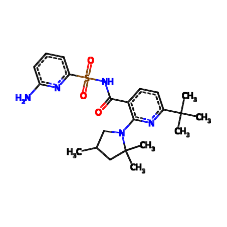 CC1CN(c2nc(C(C)(C)C)ccc2C(=O)NS(=O)(=O)c2cccc(N)n2)C(C)(C)C1